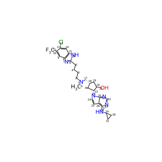 CN(CCCCc1nc2cc(C(F)(F)F)c(Cl)cc2[nH]1)C[C@@H]1C[C@@H](O)[C@H](n2ccc3c(NC4CC4)ncnc32)C1